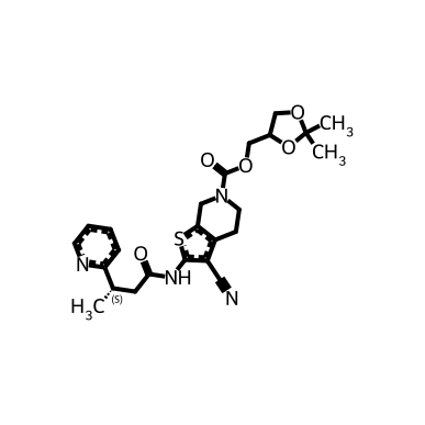 C[C@@H](CC(=O)Nc1sc2c(c1C#N)CCN(C(=O)OCC1COC(C)(C)O1)C2)c1ccccn1